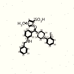 Cn1cnc(S(=O)(=O)O)c1.O=C(c1cccc(NCc2ccccc2)c1)N1CCN(c2ccccc2F)CC1